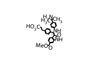 COC(=O)c1ccc2c(c1)NC(=O)/C2=C(\Nc1ccc(C(C)(C)N)cc1)c1ccc(CCC(=O)O)cc1